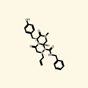 C=CCN1CC(=O)N2[C@@H](Cc3ccc(O)cc3)C(=O)N(C)C[C@@H]2N1C(=O)NCc1ccccc1